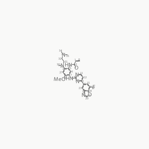 C=CC(=O)Nc1cc(Nc2nccc(-c3cc(F)c4ocnc4c3)n2)c(OC)cc1N(C)CCN(C)C